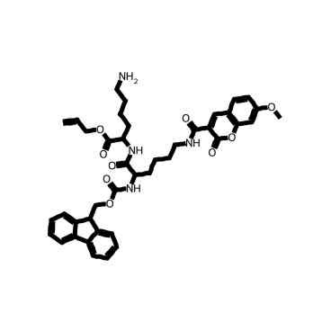 C=CCOC(=O)C(CCCCN)NC(=O)C(CCCCNC(=O)c1cc2ccc(OC)cc2oc1=O)NC(=O)OCC1c2ccccc2-c2ccccc21